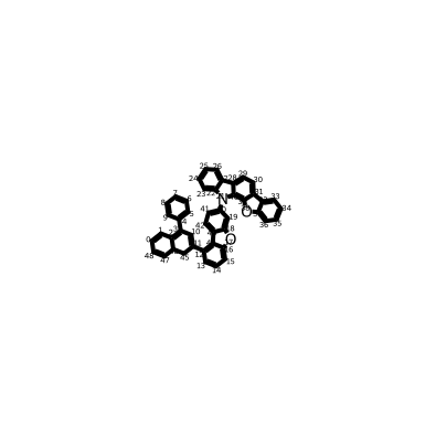 C1=CC2=C(c3ccccc3)C=C(c3cccc4oc5cc(-n6c7ccccc7c7ccc8c9ccccc9oc8c76)ccc5c34)CC2C=C1